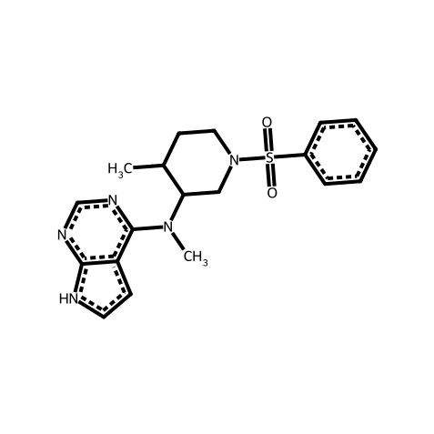 CC1CCN(S(=O)(=O)c2ccccc2)CC1N(C)c1ncnc2[nH]ccc12